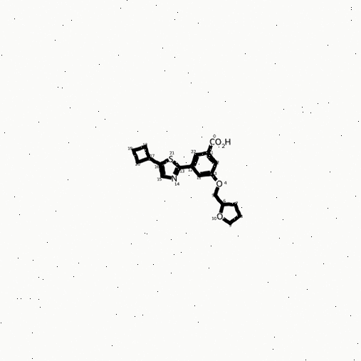 O=C(O)c1cc(OCC2CCCO2)cc(-c2ncc(C3CCC3)s2)c1